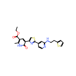 CCOC(=O)c1cc(-c2csc(-c3ccnc(NCCc4cccs4)c3)n2)c(=O)[nH]c1C